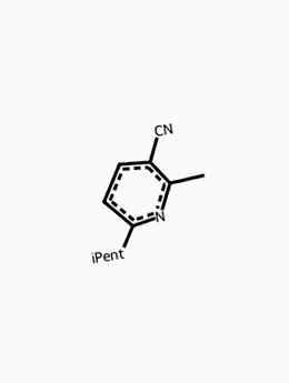 CCCC(C)c1ccc(C#N)c(C)n1